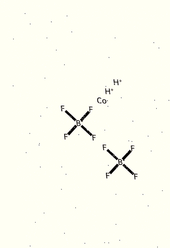 F[B-](F)(F)F.F[B-](F)(F)F.[Co].[H+].[H+]